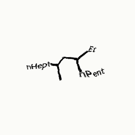 CCCCCCCC(C)[CH]C(CC)CCCCC